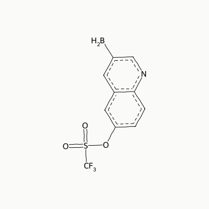 Bc1cnc2ccc(OS(=O)(=O)C(F)(F)F)cc2c1